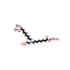 CCCCCCCCCOC(=O)CCCCCCCN(CCO)CCCCCCCC(OCC)OCC